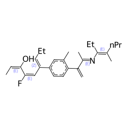 C=C(/C(C)=N/C(CC)=C(\C)CCC)c1ccc(C(=C\CC)/C=C(F)\C(O)=C/C)cc1C